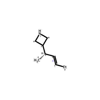 CC/C=C/[C@H](C)C1CNC1